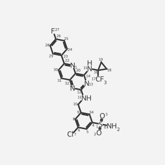 NS(=O)(=O)c1cc(Cl)cc(CNc2nc(NC3(C(F)(F)F)CC3)c3nc(-c4ccc(F)cc4)ccc3n2)c1